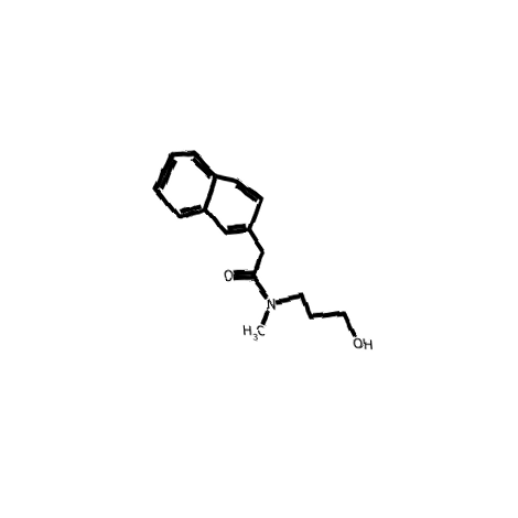 CN(CCCO)C(=O)Cc1ccc2ccccc2c1